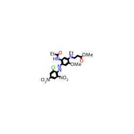 CCC(=O)Nc1cc(N(CC)CCC(=O)OC)c(OC)cc1/N=N/c1c(Cl)cc([N+](=O)[O-])cc1[N+](=O)[O-]